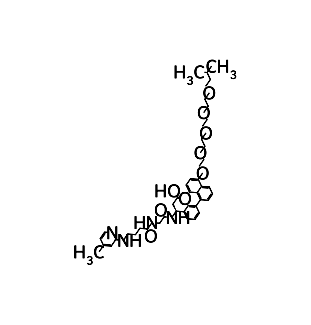 Cc1ccnc(NCCCC(=O)NCC(=O)N[C@@H](CC(=O)O)c2cccc(-c3cccc4c(OCCOCCOCCOCCOCCC(C)C)cccc34)c2)c1